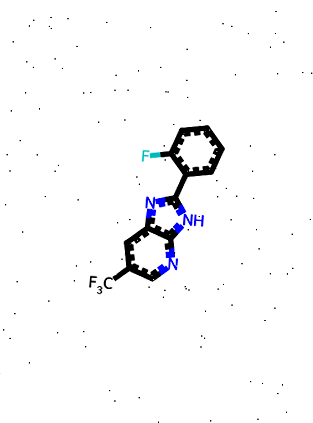 Fc1ccccc1-c1nc2cc(C(F)(F)F)cnc2[nH]1